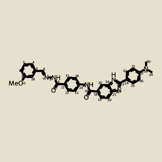 COc1cccc(/C=N/NC(=O)c2ccc(NC(=O)c3ccc4nc(-c5ccc(N(C)C)cc5)[nH]c4c3)cc2)c1